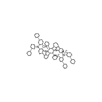 Cc1ccc(-c2ccccc2)cc1N(c1cccc(-c2ccccc2)c1)c1ccc2c3cccc4c5c(-c6ccccc6)c6c(c(-c7ccccc7)c5n(c2c1)c34)c1cccc2c3ccc(N(c4cc(-c5ccccc5)ccc4C)c4cc(-c5ccccc5)ccc4C)cc3n6c21